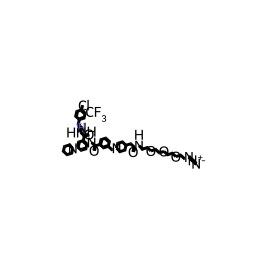 [N-]=[N+]=NCCOCCOCCOCCNC(=O)CC1CCN(Cc2cccc(C(=O)Nc3ccc(N4CCCCC4)cc3C(=O)N/N=C/c3ccc(Cl)c(C(F)(F)F)c3)c2)CC1